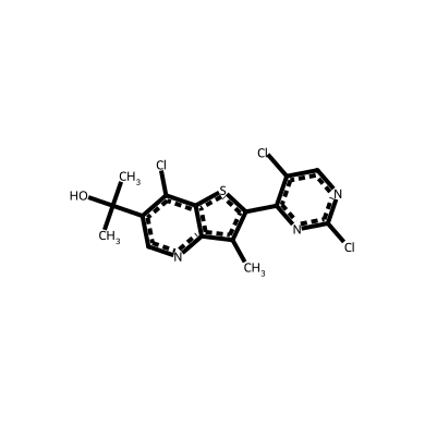 Cc1c(-c2nc(Cl)ncc2Cl)sc2c(Cl)c(C(C)(C)O)cnc12